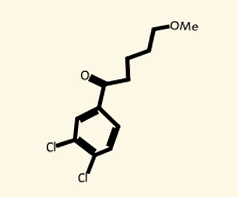 COCCCCC(=O)c1ccc(Cl)c(Cl)c1